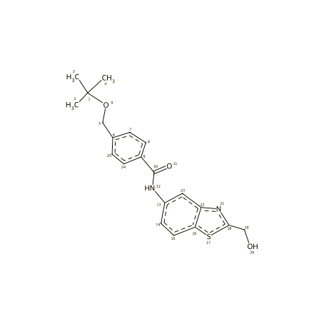 CC(C)(C)OCc1ccc(C(=O)Nc2ccc3sc(CO)nc3c2)cc1